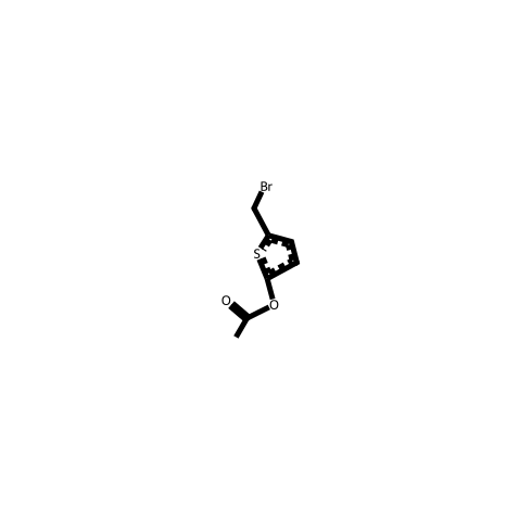 CC(=O)Oc1ccc(CBr)s1